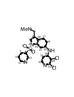 CNCc1cn(S(=O)(=O)c2cccnc2)c2cc(Nc3ccnc(Cl)c3Cl)ccc12